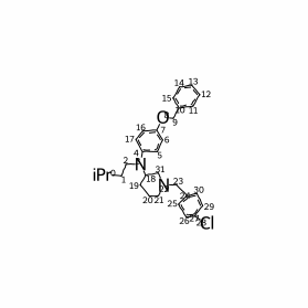 CC(C)CCN(c1ccc(OCc2ccccc2)cc1)C1CCCN(Cc2ccc(Cl)cc2)C1